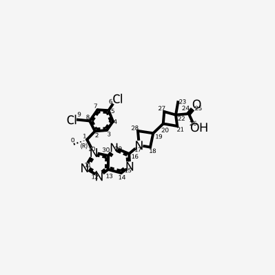 C[C@H](c1ccc(Cl)cc1Cl)n1nnc2cnc(N3CC(C4CC(C)(C(=O)O)C4)C3)nc21